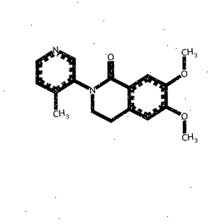 COc1cc2c(cc1OC)C(=O)N(c1cnccc1C)CC2